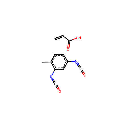 C=CC(=O)O.Cc1ccc(N=C=O)cc1N=C=O